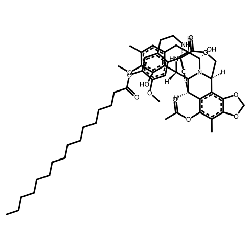 CCCCCCCCCCCCCCCC(=O)Oc1cc2c(cc1OC)[C@@]1(CS[C@@H]3c4c(OC(C)=O)c(C)c5c(c4[C@H](COC1=O)N1C3[C@H]3N[C@H](Cc4cc(C)c(OC)c(O)c43)[C@@H]1O)OCO5)NCC2